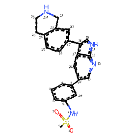 CS(=O)(=O)Nc1cccc(-c2cnc3[nH]cc(-c4ccc5c(c4)CNCC5)c3c2)c1